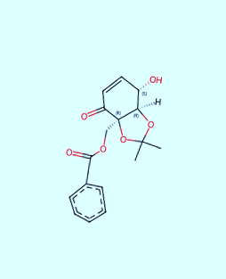 CC1(C)O[C@@H]2[C@@H](O)C=CC(=O)[C@]2(COC(=O)c2ccccc2)O1